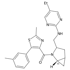 CCc1cnc(NCC2CC3C[C@@H]3N2C(=O)c2nc(C)sc2-c2cccc(C)c2)nc1